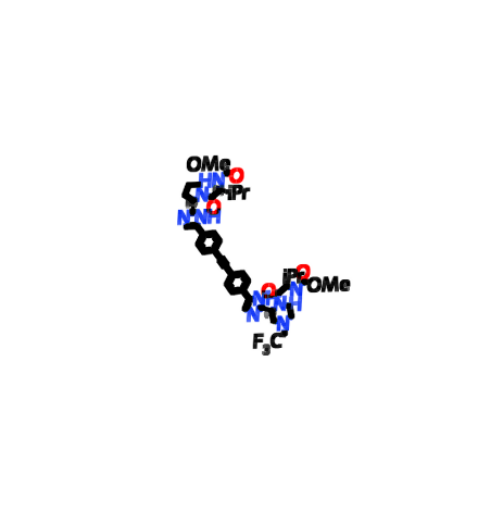 COC(=O)NC(C(=O)N1CCN(CC(F)(F)F)C[C@H]1c1ncc(-c2ccc(C#Cc3ccc(-c4cnc([C@@H]5CCCN5C(=O)[C@@H](NC(=O)OC)C(C)C)[nH]4)cc3)cc2)[nH]1)C(C)C